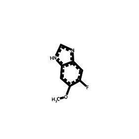 COc1cc2[nH]cnc2cc1F